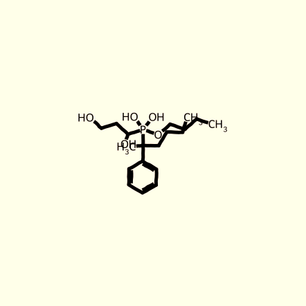 CCCCOP(O)(O)(C(O)CCO)C(C)(CCCC)c1ccccc1